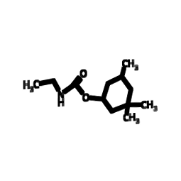 CCNC(=O)OC1CC(C)CC(C)(C)C1